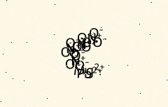 O=[N+]([O-])[O-].O=[N+]([O-])[O-].O=[N+]([O-])[O-].O=[N+]([O-])[O-].[Mg+2].[Pb+2]